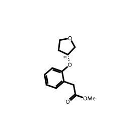 COC(=O)Cc1ccccc1O[C@@H]1CCOC1